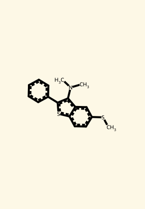 CSc1ccc2sc(-c3ccccc3)c(N(C)C)c2c1